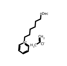 C=CC.CCCCCCCCCCCCCCCC[n+]1ccccc1.[Cl-]